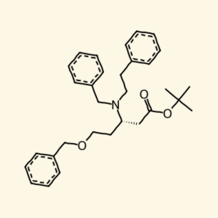 CC(C)(C)OC(=O)C[C@H](CCOCc1ccccc1)N(CCc1ccccc1)Cc1ccccc1